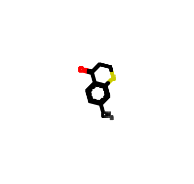 Cc1ccc2c(c1)SCCC2=O